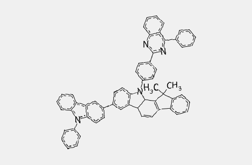 CC1(C)C2=C(C=CC3c4cc(-c5ccc6c(c5)c5ccccc5n6-c5ccccc5)ccc4N(c4ccc(-c5nc(-c6ccccc6)c6ccccc6n5)cc4)C23)c2ccccc21